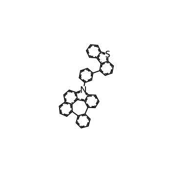 c1cc(-c2cccc3sc4ccccc4c23)cc(-n2c3cccc4c3c3c5c(cccc5ccc32)-c2ccccc2-4)c1